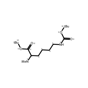 CNC(CCCCNC(=O)OC(C)(C)C)C(=O)OC(C)(C)C